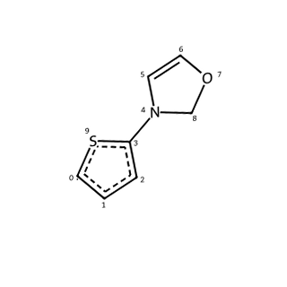 [c]1ccc(N2C=COC2)s1